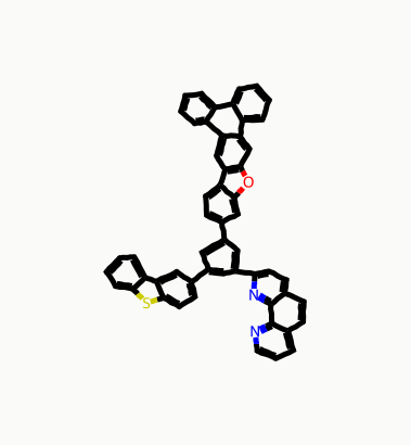 c1cnc2c(c1)ccc1ccc(-c3cc(-c4ccc5c(c4)oc4cc6c7ccccc7c7ccccc7c6cc45)cc(-c4ccc5sc6ccccc6c5c4)c3)nc12